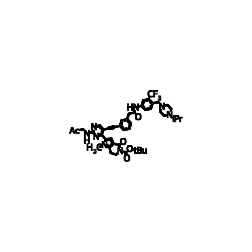 CC(=O)CNc1ncc(C#Cc2cccc(CC(=O)Nc3ccc(CN4CCN(C(C)C)CC4)c(C(F)(F)F)c3)c2)c(-c2cc3c(n2C)CCN(C(=O)OC(C)(C)C)C3=O)n1